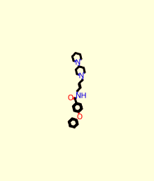 O=C(NC/C=C/CN1CCC(N2CCCCC2)CC1)c1ccc(Oc2ccccc2)cc1